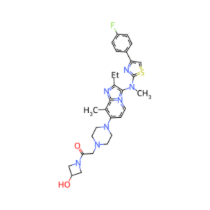 CCc1nc2c(C)c(N3CCN(CC(=O)N4CC(O)C4)CC3)ccn2c1N(C)c1nc(-c2ccc(F)cc2)cs1